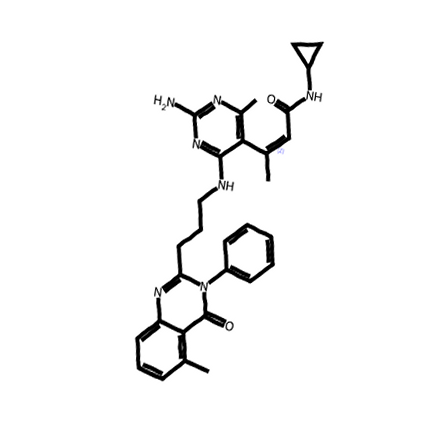 C/C(=C/C(=O)NC1CC1)c1c(C)nc(N)nc1NCCCc1nc2cccc(C)c2c(=O)n1-c1ccccc1